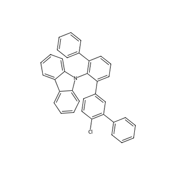 Clc1ccc(-c2cccc(-c3ccccc3)c2-n2c3ccccc3c3ccccc32)cc1-c1ccccc1